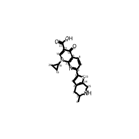 CC1Cc2cc(-c3ccc4c(=O)c(C(=O)O)cn(C5CC5)c4n3)sc2CN1